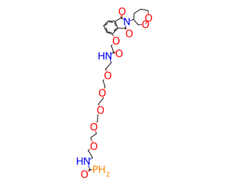 O=C(P)NCCOCCOCCOCCOCCOCCNC(=O)COc1cccc2c1C(=O)N(C1CCCOOC1)C2=O